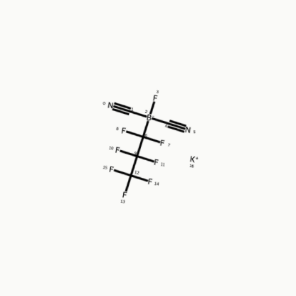 N#C[B-](F)(C#N)C(F)(F)C(F)(F)C(F)(F)F.[K+]